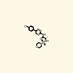 C[C@H](NS(=O)(=O)N1CCOCC1)C(=O)NC1=NN=C(c2ccc(Cl)cc2)CS1